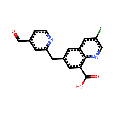 O=Cc1ccnc(Cc2cc(C(=O)O)c3ncc(Cl)cc3c2)c1